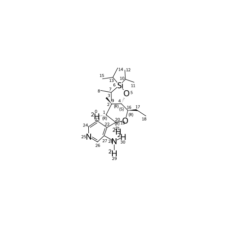 [2H][C@@H]1[C@@H](C)[C@H](O[Si](C(C)C)(C(C)C)C(C)C)[C@@H](CC)O[C@@]1([2H])c1ccncc1N([2H])[2H]